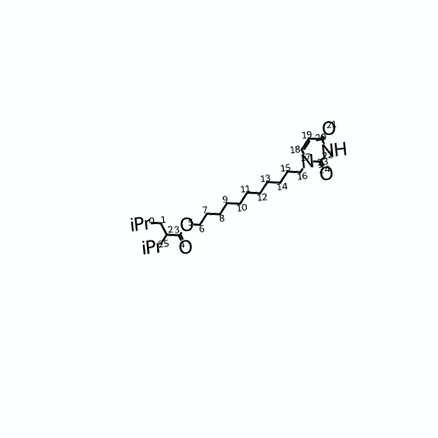 CC(C)CC(C(=O)OCCCCCCCCCCCn1ccc(=O)[nH]c1=O)C(C)C